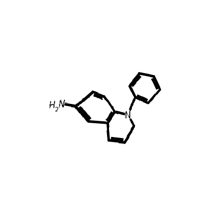 Nc1ccc2c(c1)C=CCN2c1ccccc1